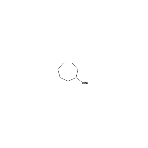 CCCCC1[CH]CCCCC1